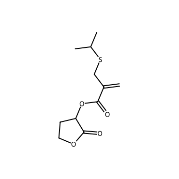 C=C(CSC(C)C)C(=O)OC1CCOC1=O